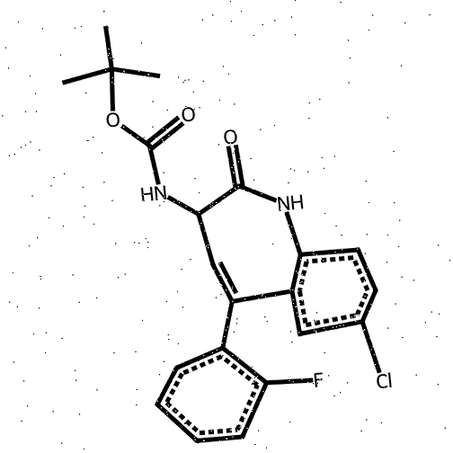 CC(C)(C)OC(=O)NC1C=C(c2ccccc2F)c2cc(Cl)ccc2NC1=O